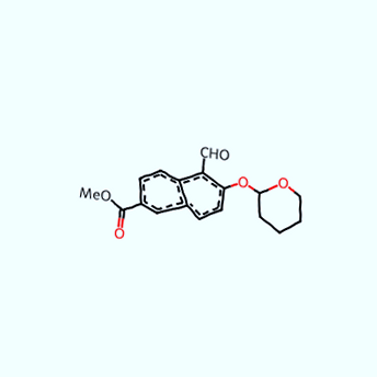 COC(=O)c1ccc2c(C=O)c(OC3CCCCO3)ccc2c1